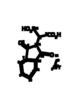 CCCC.O=C(O)C(N1C(=O)c2ccccc2C1=O)S(=O)(=O)O